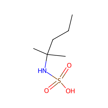 CCCC(C)(C)NS(=O)(=O)O